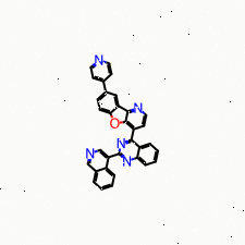 c1ccc2c(-c3nc(-c4ccnc5c4oc4ccc(-c6ccncc6)cc45)c4ccccc4n3)cncc2c1